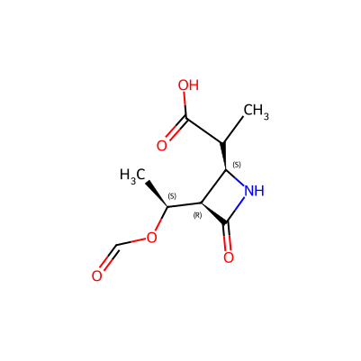 CC(C(=O)O)[C@H]1NC(=O)[C@H]1[C@H](C)OC=O